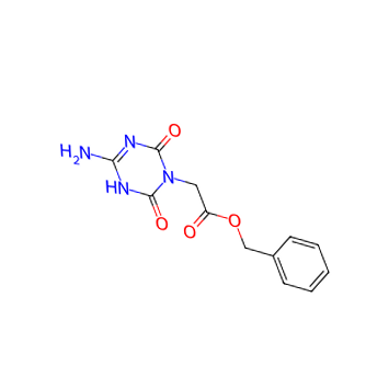 Nc1nc(=O)n(CC(=O)OCc2ccccc2)c(=O)[nH]1